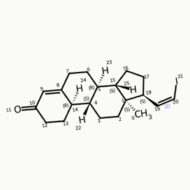 C[C@]12CC[C@H]3[C@@H](CCC4=CC(=O)CC[C@@H]43)[C@@H]1CC[C@H]2/C=C\I